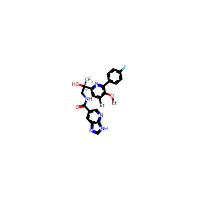 CCOc1c(CC)cc([C@@](O)(CNC(=O)c2cnc3[nH]cnc3c2)C(F)(F)F)nc1-c1ccc(F)cc1